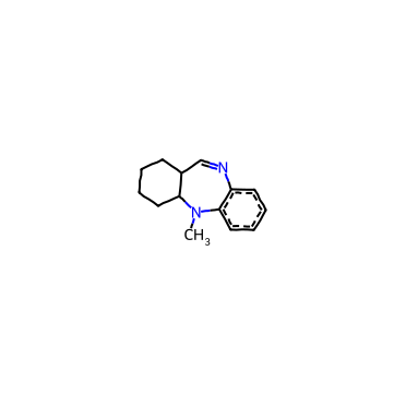 CN1c2ccccc2N=CC2CCCCC21